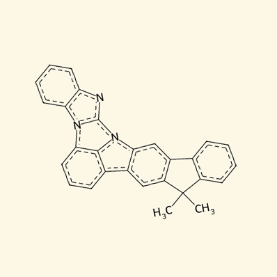 CC1(C)c2ccccc2-c2cc3c(cc21)c1cccc2c1n3c1nc3ccccc3n21